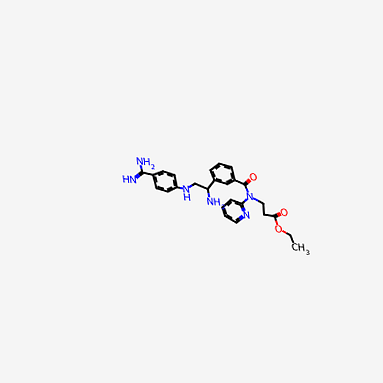 CCOC(=O)CCN(C(=O)c1cccc(C(N)CNc2ccc(C(=N)N)cc2)c1)c1ccccn1